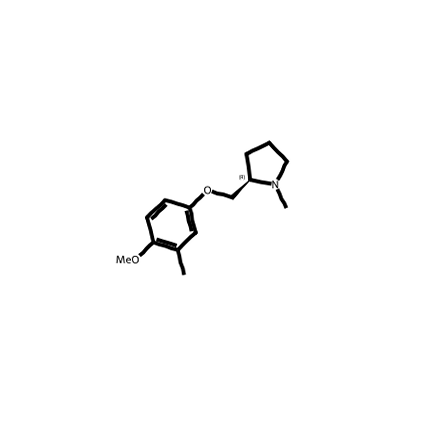 COc1ccc(OC[C@H]2CCCN2C)cc1C